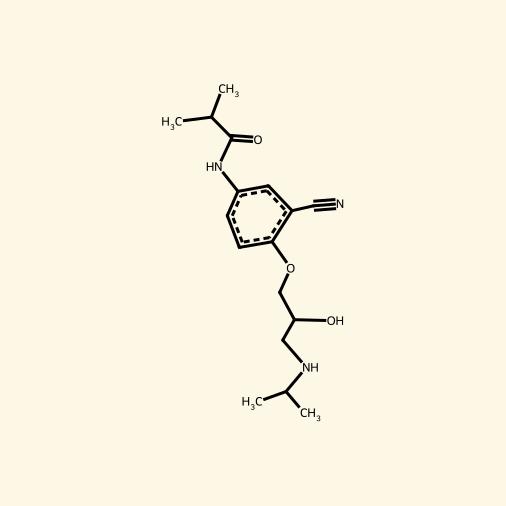 CC(C)NCC(O)COc1ccc(NC(=O)C(C)C)cc1C#N